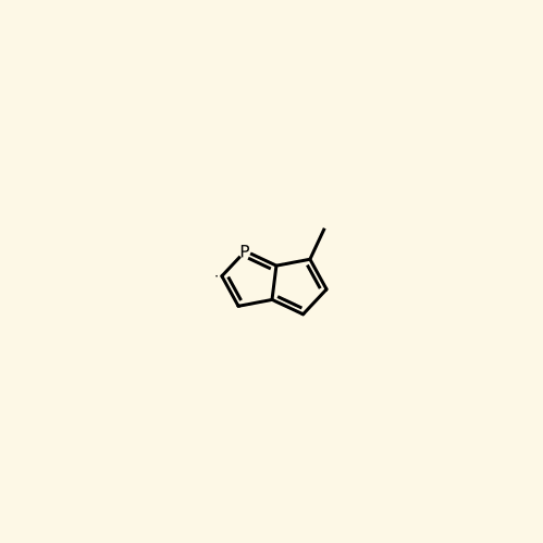 CC1=CC=C2C=[C]P=C12